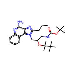 CCCc1nc2c(N)nc3ccccc3c2n1CC(CNC(=O)OC(C)(C)C)O[Si](C)(C)C(C)(C)C